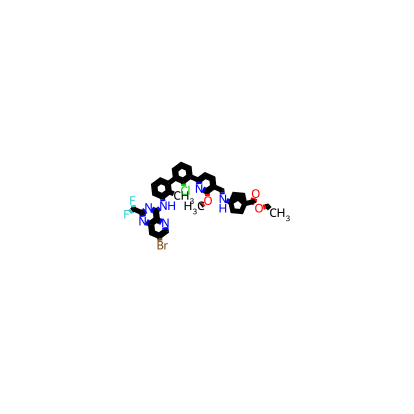 CCOC(=O)C12CCC(NCc3ccc(-c4cccc(-c5cccc(Nc6nc(C(F)F)nc7cc(Br)cnc67)c5C)c4Cl)nc3OC)(CC1)C2